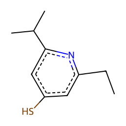 CCc1cc(S)cc(C(C)C)n1